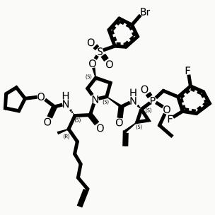 C=CCCCC[C@@H](C)[C@H](NC(=O)OC1CCCC1)C(=O)N1C[C@@H](OS(=O)(=O)c2ccc(Br)cc2)C[C@H]1C(=O)N[C@]1(P(=O)(Cc2c(F)cccc2F)OCC)C[C@H]1C=C